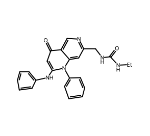 CCNC(=O)NCc1cc2c(cn1)c(=O)cc(Nc1ccccc1)n2-c1ccccc1